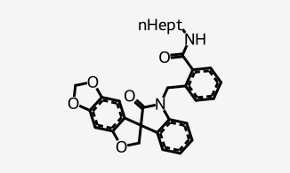 CCCCCCCNC(=O)c1ccccc1CN1C(=O)C2(COc3cc4c(cc32)OCO4)c2ccccc21